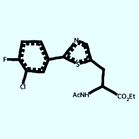 CCOC(=O)C(Cc1cnc(-c2ccc(F)c(Cl)c2)s1)NC(C)=O